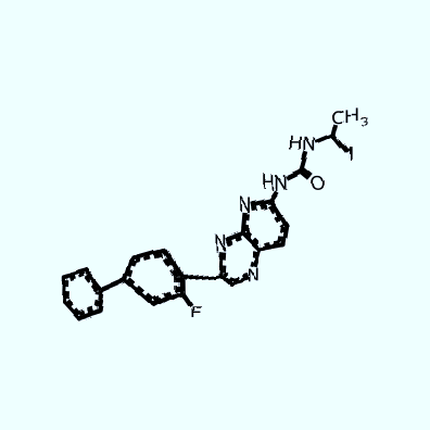 CC(I)NC(=O)Nc1ccc2ncc(-c3ccc(-c4ccccc4)cc3F)nc2n1